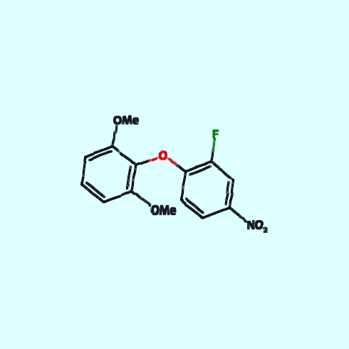 COc1cccc(OC)c1Oc1ccc([N+](=O)[O-])cc1F